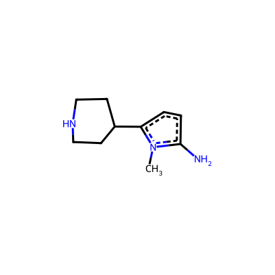 Cn1c(N)ccc1C1CCNCC1